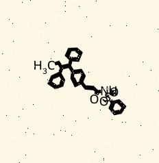 CC/C(=C(\c1ccccc1)c1ccc(/C=C/C(=O)NS(=O)(=O)c2ccccc2)cc1)c1ccccc1